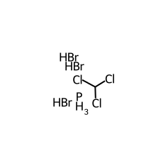 Br.Br.Br.ClC(Cl)Cl.P